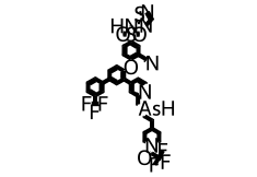 N#Cc1cc(S(=O)(=O)Nc2ncns2)ccc1Oc1ccc(-c2cccc(C(F)(F)F)c2)cc1-c1ccnc(C[AsH]CCC2CCN(C(=O)C(F)(F)F)CC2)c1